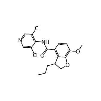 CCCC1COc2c(OC)ccc(C(=O)Nc3c(Cl)cncc3Cl)c21